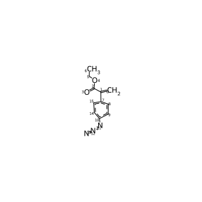 C=C(C(=O)OCC)c1ccc(N=[N+]=[N-])cc1